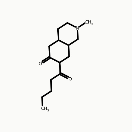 CCCCC(=O)C1CC2CN(C)CCC2CC1=O